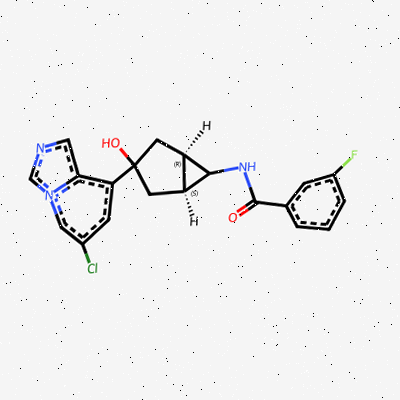 O=C(NC1[C@H]2CC(O)(c3cc(Cl)cn4cncc34)C[C@@H]12)c1cccc(F)c1